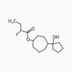 CCC(I)C(=O)OC1CCCC(C2(O)CCCC2)CC1